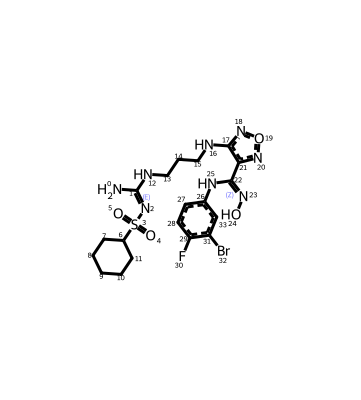 N/C(=N\S(=O)(=O)C1CCCCC1)NCCCNc1nonc1/C(=N/O)Nc1ccc(F)c(Br)c1